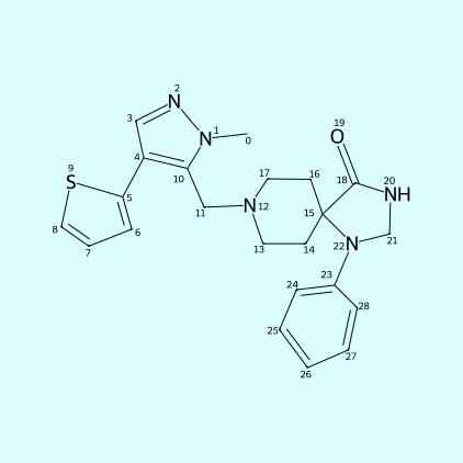 Cn1ncc(-c2cccs2)c1CN1CCC2(CC1)C(=O)NCN2c1ccccc1